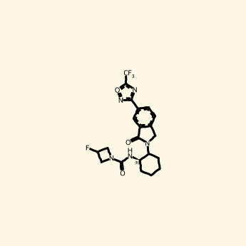 O=C(N[C@@H]1CCCCC1N1Cc2ccc(-c3noc(C(F)(F)F)n3)cc2C1=O)N1CC(F)C1